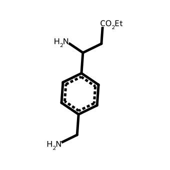 CCOC(=O)CC(N)c1ccc(CN)cc1